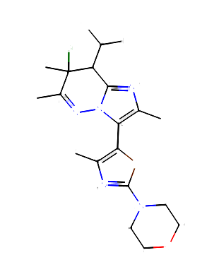 CCC(CC)C1C2=NC(C)=C(c3sc(N4CCOCC4)nc3C)[N+]2N=C(C)C1(C)Br